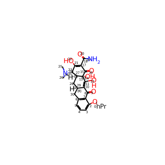 CCCOc1cccc2c1C(=O)C1=C(O)[C@]3(O)C(=O)C(C(N)=O)=C(O)[C@@H](N(C)C)[C@@H]3C[C@@H]1C2